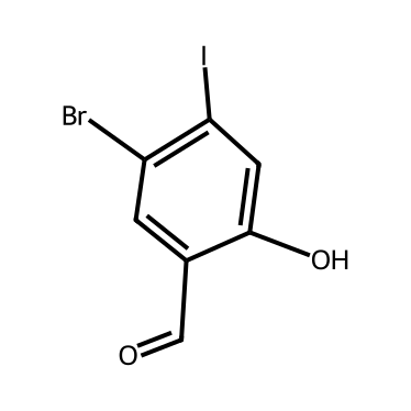 O=Cc1cc(Br)c(I)cc1O